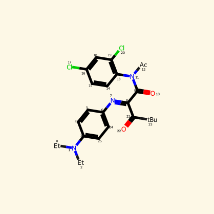 CCN(CC)c1ccc(N=C(C(=O)N(C(C)=O)c2ccc(Cl)cc2Cl)C(=O)C(C)(C)C)cc1